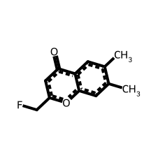 Cc1cc2oc(CF)cc(=O)c2cc1C